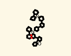 c1ccc(-c2ccccc2N(c2ccc(-c3cccc(-c4cccc(-n5c6ccccc6c6ccccc65)c4)c3)cc2)c2cccc(-c3cccc4oc5ccccc5c34)c2)cc1